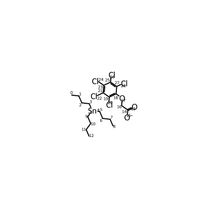 CCC[CH2][Sn+]([CH2]CCC)[CH2]CCC.O=C([O-])COc1c(Cl)c(Cl)c(Cl)c(Cl)c1Cl